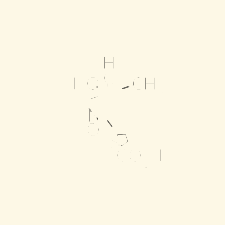 CC#CC[C@H](C)[C@H](O)/C=C/[C@H]1CCC(=O)N1CC#Cc1ccc(C(=O)O)s1